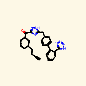 C#CCCC1CCCC(C(=O)c2n[nH]c(Cc3ccc(-c4ccccc4-c4nnn[nH]4)cc3)n2)C1